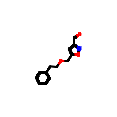 O=Cc1cc(COCCc2ccccc2)on1